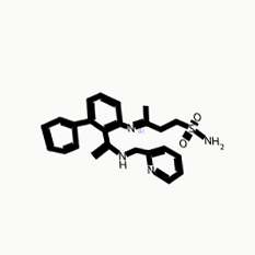 C=C(NCc1ccccn1)c1c(/N=C(\C)CCS(N)(=O)=O)cccc1-c1ccccc1